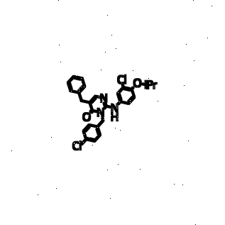 CC(C)Oc1ccc(Nc2ncc(Cc3ccccc3)c(=O)n2Cc2ccc(Cl)cc2)cc1Cl